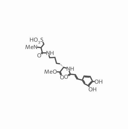 CNC(CS(=O)(=O)O)C(=O)NCCCC[C@H](NC(=O)/C=C/c1ccc(O)c(O)c1)C(=O)OC